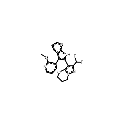 COc1ncccc1-c1c(-c2c(C(F)F)nn3c2OCCC3)[nH]c2ncccc12